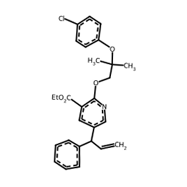 C=CC(c1ccccc1)c1cnc(OCC(C)(C)Oc2ccc(Cl)cc2)c(C(=O)OCC)c1